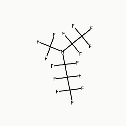 FC(F)(F)N(C(F)(F)C(F)(F)F)C(F)(F)C(F)(F)C(F)(F)F